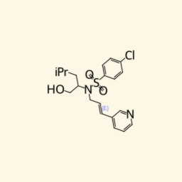 CC(C)CC(CO)N(C/C=C/c1cccnc1)S(=O)(=O)c1ccc(Cl)cc1